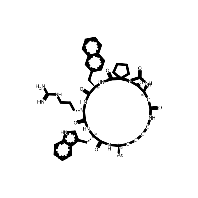 CC(=O)[C@@H]1CCCCNC(=O)C[C@@H]2NC(=O)N(C2=O)C2(CCCC2)C(=O)N[C@H](Cc2ccc3ccccc3c2)C(=O)N[C@@H](CCCNC(=N)N)C(=O)N[C@@H](Cc2c[nH]c3ccccc23)C(=O)N1